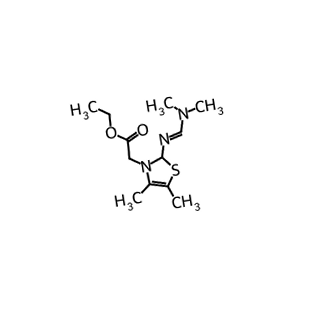 CCOC(=O)CN1C(C)=C(C)SC1N=CN(C)C